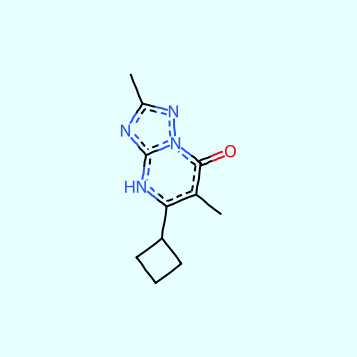 Cc1nc2[nH]c(C3CCC3)c(C)c(=O)n2n1